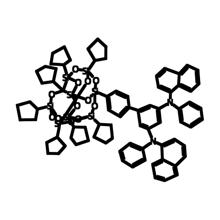 c1ccc(N(c2cc(-c3ccc([Si]45O[Si]6(C7CCCC7)O[Si]7(C8CCCC8)O[Si]8(C9CCCC9)OC9(C%10CCCC%10)[Si](O4)(O[Si](C4CCCC4)(O8)O6)O[Si]9(C4CCCC4)O[Si](C4CCCC4)(O5)O7)cc3)cc(N(c3ccccc3)c3cccc4ccccc34)c2)c2cccc3ccccc23)cc1